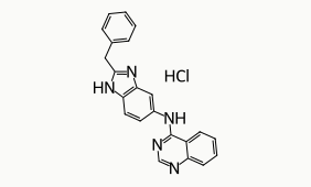 Cl.c1ccc(Cc2nc3cc(Nc4ncnc5ccccc45)ccc3[nH]2)cc1